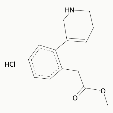 COC(=O)Cc1ccccc1C1=CCCNC1.Cl